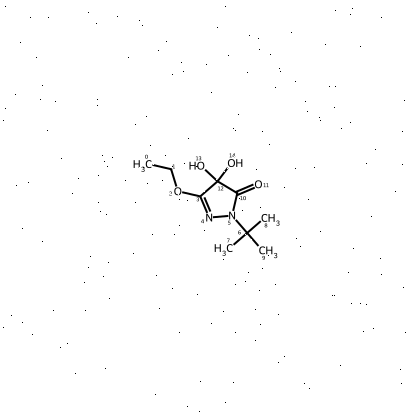 CCOC1=NN(C(C)(C)C)C(=O)C1(O)O